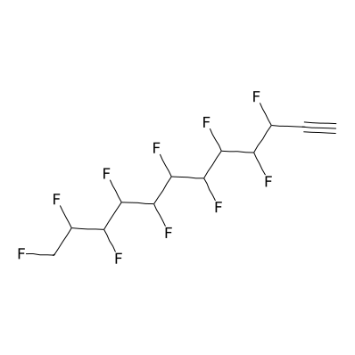 C#CC(F)C(F)C(F)C(F)C(F)C(F)C(F)C(F)C(F)CF